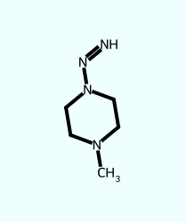 CN1CCN(N=N)CC1